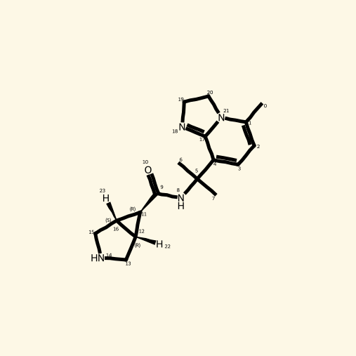 CC1=CC=C(C(C)(C)NC(=O)[C@H]2[C@@H]3CNC[C@@H]32)C2=NCCN12